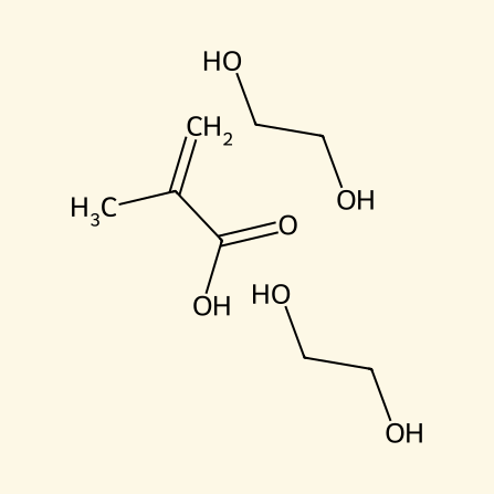 C=C(C)C(=O)O.OCCO.OCCO